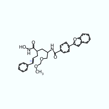 COCOCC(CC(C/C=C/c1ccccc1)C(=O)NO)NC(=O)c1ccc(-c2cc3ccccc3o2)cc1